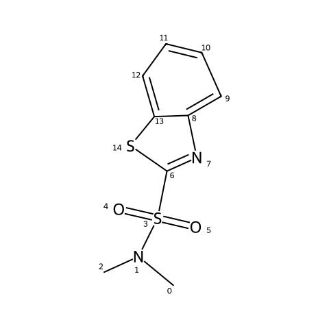 CN(C)S(=O)(=O)c1nc2ccccc2s1